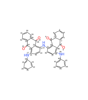 O=C1c2ccccc2C(=O)c2c(Nc3ccc(Nc4ccccc4)c4c3C(=O)c3ccccc3C4=O)ccc(Nc3ccccc3)c21